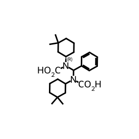 CC1(C)CCCC(N(C(=O)O)C(c2ccccc2)N(C(=O)O)[C@@H]2CCCC(C)(C)C2)C1